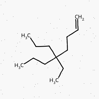 C=CCCC(CC)(CCC)CCC